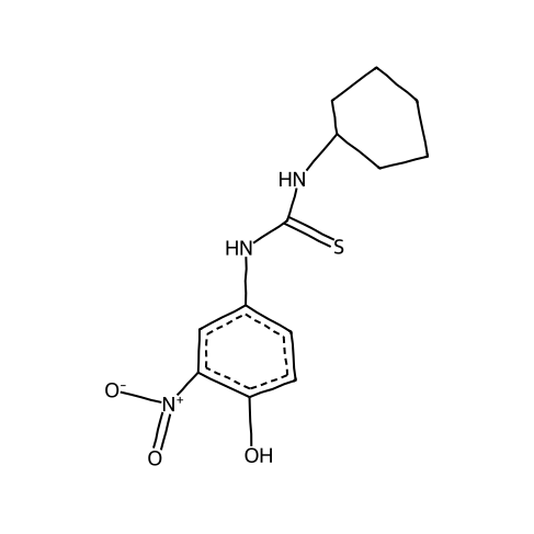 O=[N+]([O-])c1cc(NC(=S)NC2CCCCC2)ccc1O